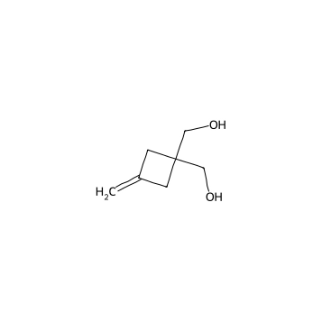 C=C1CC(CO)(CO)C1